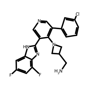 NCC1CN(c2c(-c3cccc(Cl)c3)cncc2-c2nc3c(F)cc(F)cc3[nH]2)C1